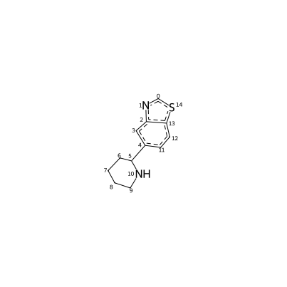 c1nc2cc(C3CCCCN3)ccc2s1